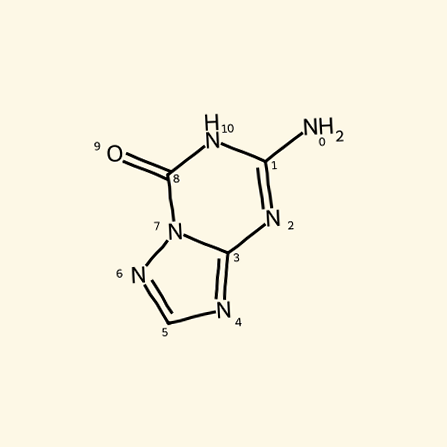 Nc1nc2ncnn2c(=O)[nH]1